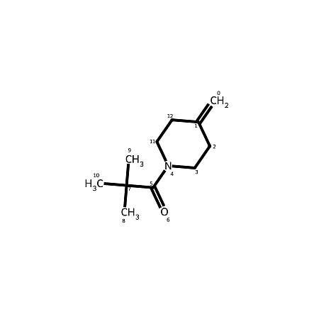 C=C1CCN(C(=O)C(C)(C)C)CC1